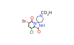 O=C1NC2(CCN(C(=O)O)CC2)n2c1c(Cl)cc(Br)c2=O